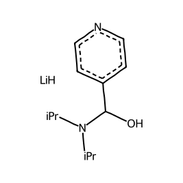 CC(C)N(C(C)C)C(O)c1ccncc1.[LiH]